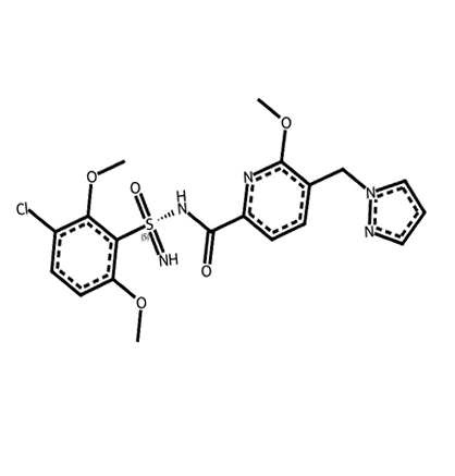 COc1ccc(Cl)c(OC)c1[S@](=N)(=O)NC(=O)c1ccc(Cn2cccn2)c(OC)n1